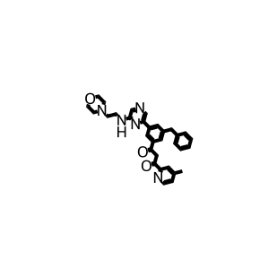 Cc1ccnc(C(=O)CC(=O)c2cc(Cc3ccccc3)cc(-c3cncc(NCCN4CCOCC4)n3)c2)c1